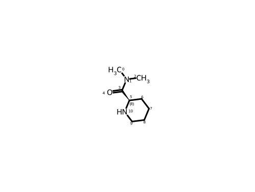 CN(C)C(=O)[C@H]1CCCCN1